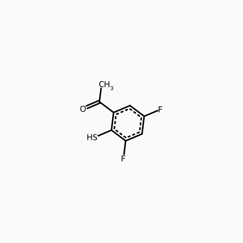 CC(=O)c1cc(F)cc(F)c1S